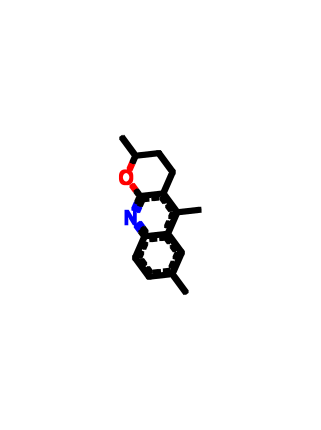 Cc1ccc2nc3c(c(C)c2c1)CCC(C)O3